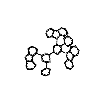 c1ccc(-c2nc(-c3cc(-n4c5ccccc5c5ccccc54)c(-c4ccccc4)c(-n4c5ccccc5c5ccccc54)c3)nc(-c3cccc4oc5ccccc5c34)n2)cc1